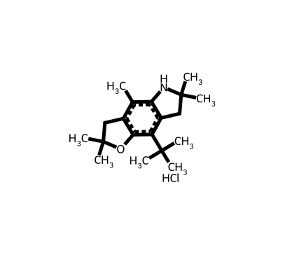 Cc1c2c(c(C(C)(C)C)c3c1NC(C)(C)C3)OC(C)(C)C2.Cl